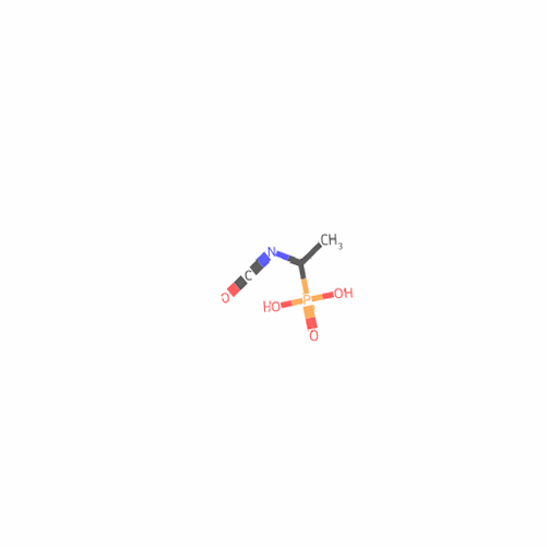 CC(N=C=O)P(=O)(O)O